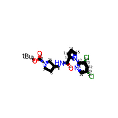 CC(C)(C)OC(=O)N1CCC(CNC(=O)c2cccn2-c2ncc(Cl)cc2Cl)C1